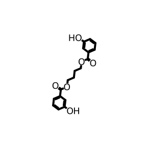 O=C(OCCCCOC(=O)c1cccc(O)c1)c1cccc(O)c1